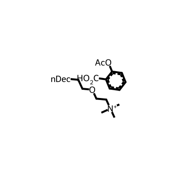 CC(=O)Oc1ccccc1C(=O)O.CCCCCCCCCCCCOCC[N+](C)(C)C